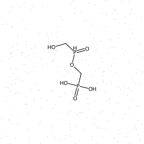 O=[PH](CO)OCP(=O)(O)O